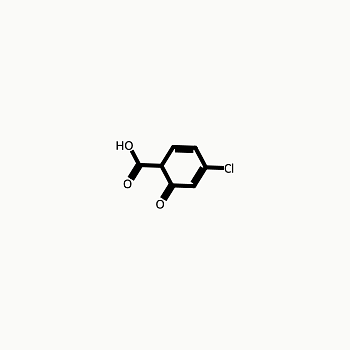 O=C(O)C1C=CC(Cl)=CC1=O